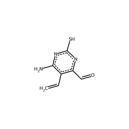 C=Cc1c(N)nc(S)nc1C=O